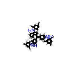 Cc1cc(C)c(Nc2ccc(C(c3ccc(Nc4c(C)cc(C)cc4C)cc3)c3ccc(Nc4c(C)cc(C)cc4C)c4ccccc34)cc2)c(C)c1